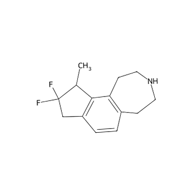 CC1c2c(ccc3c2CCNCC3)CC1(F)F